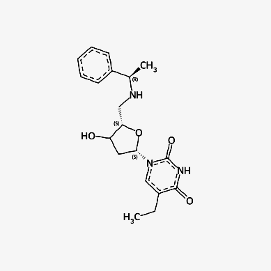 CCc1cn([C@@H]2CC(O)[C@H](CN[C@H](C)c3ccccc3)O2)c(=O)[nH]c1=O